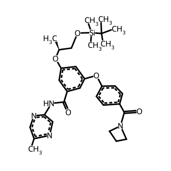 Cc1cnc(NC(=O)c2cc(Oc3ccc(C(=O)N4CCC4)cc3)cc(O[C@@H](C)CO[Si](C)(C)C(C)(C)C)c2)cn1